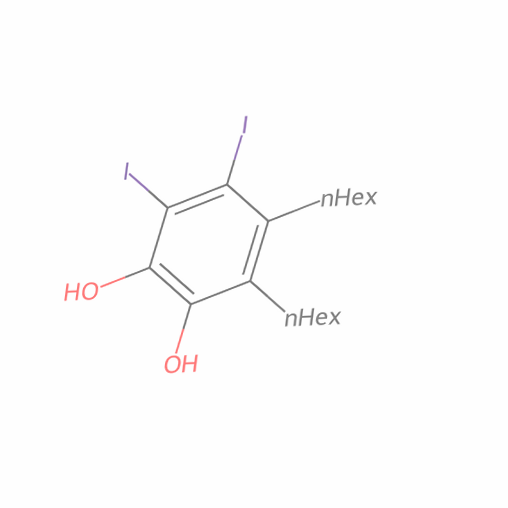 CCCCCCc1c(O)c(O)c(I)c(I)c1CCCCCC